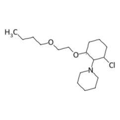 CCCCOCCO[C]1CCCC(Cl)C1N1CCCCC1